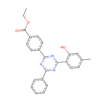 CCOC(=O)c1ccc(-c2nc(-c3ccccc3)nc(-c3ccc(C)cc3O)n2)cc1